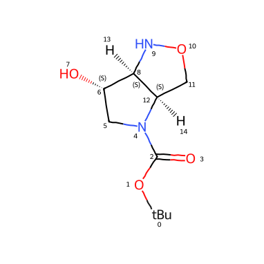 CC(C)(C)OC(=O)N1C[C@H](O)[C@H]2NOC[C@H]21